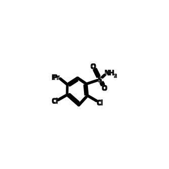 CC(C)c1cc(S(N)(=O)=O)c(Cl)cc1Cl